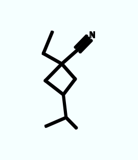 CCC1(C#N)CC(C(C)C)C1